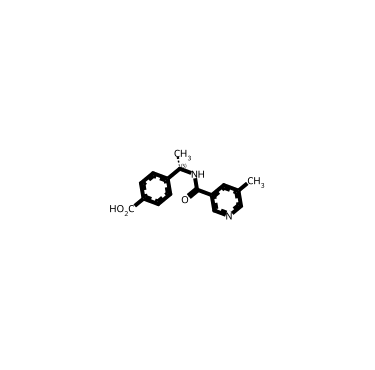 Cc1cncc(C(=O)N[C@@H](C)c2ccc(C(=O)O)cc2)c1